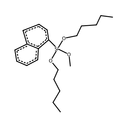 CCCCCO[Si](OC)(OCCCCC)c1cccc2ccccc12